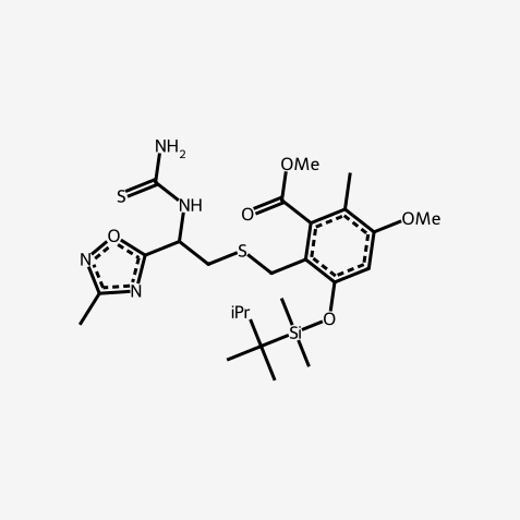 COC(=O)c1c(C)c(OC)cc(O[Si](C)(C)C(C)(C)C(C)C)c1CSCC(NC(N)=S)c1nc(C)no1